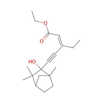 CCOC(=O)/C=C(\C#CC1(O)C2(C)CCC(C2)C1(C)C)CC